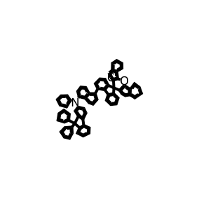 c1ccc(N(c2ccc3c(c2)C(c2ccccc2)(c2ccccc2)c2ccccc2-3)c2cccc3c(-c4cccc5c4-c4ccccc4C54c5ccc6ccccc6c5Oc5c4ccc4ccccc54)cccc23)cc1